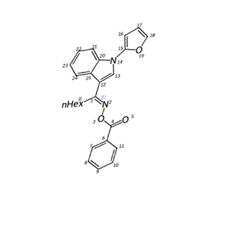 CCCCCC/C(=N\OC(=O)c1ccccc1)c1cn(-c2ccco2)c2ccccc12